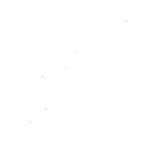 COc1ccc(CN2C(=O)CN(c3cc4nc(N)c(C)cc4[nH]3)C2=O)cc1